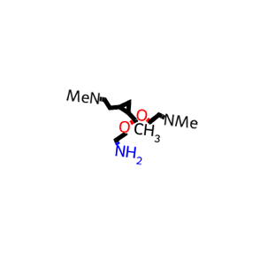 CNCCOC(C)(OCCN)C1CC1CCNC